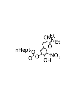 CCCCCCCOC(=O)Oc1cc(C=C(C#N)C(=O)N(CC)CC)cc([N+](=O)[O-])c1O